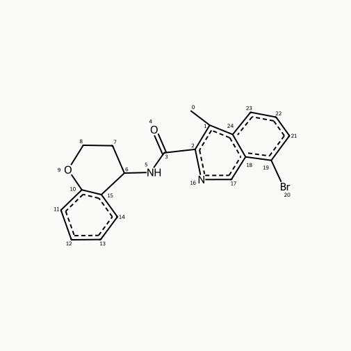 Cc1c(C(=O)NC2CCOc3ccccc32)ncc2c(Br)cccc12